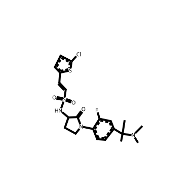 CN(C)C(C)(C)c1ccc(N2CCC(NS(=O)(=O)/C=C/c3ccc(Cl)s3)C2=O)c(F)c1